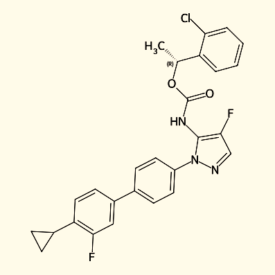 C[C@@H](OC(=O)Nc1c(F)cnn1-c1ccc(-c2ccc(C3CC3)c(F)c2)cc1)c1ccccc1Cl